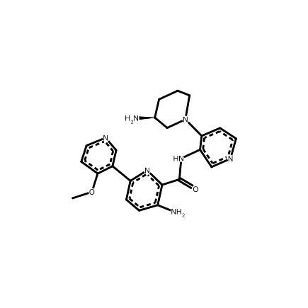 COc1ccncc1-c1ccc(N)c(C(=O)Nc2cnccc2N2CCC[C@H](N)C2)n1